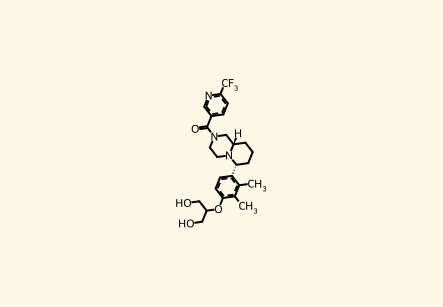 Cc1c(OC(CO)CO)ccc([C@H]2CCC[C@H]3CN(C(=O)c4ccc(C(F)(F)F)nc4)CCN32)c1C